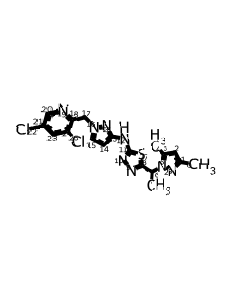 Cc1cc(C)n(C(C)c2nnc(Nc3ccn(Cc4ncc(Cl)cc4Cl)n3)s2)n1